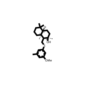 COc1cc(C)cc(SCC2[C@](C)(O)CC[C@H]3C(C)(C)CCC[C@]23C)c1